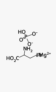 CC(C)CC(N)C(=O)O.O=P([O-])([O-])O.[Mg+2]